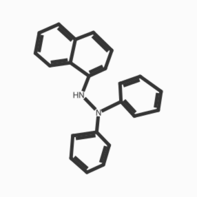 c1ccc(N(Nc2cccc3ccccc23)c2ccccc2)cc1